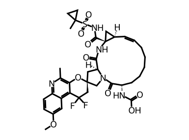 COc1ccc2nc(C)c3c(c2c1)C(F)(F)C[C@]1(C[C@H]2C(=O)N[C@]4(C(=O)NS(=O)(=O)C5(C)CC5)C[C@H]4/C=C\CCCCC[C@H](NC(=O)O)C(=O)N2C1)O3